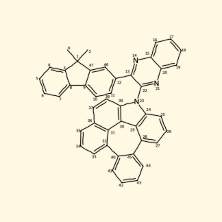 CC1(C)c2ccccc2-c2ccc(-c3nc4ccccc4nc3-n3c4cccc5c4c4c6c(cccc6ccc43)-c3ccccc3-5)cc21